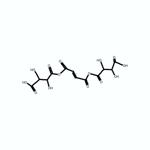 O=C(/C=C/C(=O)OC(=O)C(O)C(O)C(=O)O)OC(=O)C(O)C(O)C(=O)O